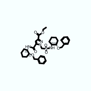 CCOC(=O)c1cc(C(=O)N[C@H]2CCCC[C@@H]2OCc2ccccc2)n(CS(=O)(=O)N[C@H]2CCCC[C@@H]2OCc2ccccc2)n1